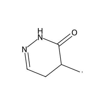 [CH2]C1CC=NNC1=O